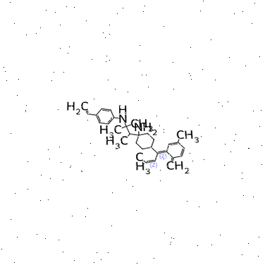 C=Cc1ccc(NC(C)(C)C(C)C2(N)CCC(C(/C=C\C)=c3\cc(C)ccc3=C)CC2)cc1